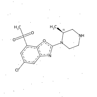 C[C@H]1CNCCN1c1nc2cc(Cl)cc(S(C)(=O)=O)c2o1